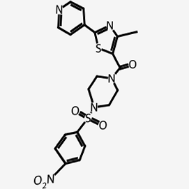 Cc1nc(-c2ccncc2)sc1C(=O)N1CCN(S(=O)(=O)c2ccc([N+](=O)[O-])cc2)CC1